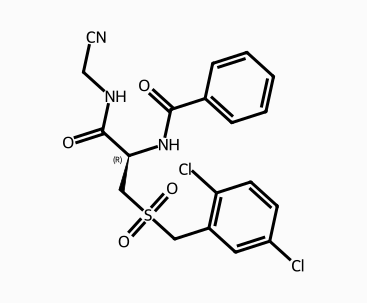 N#CCNC(=O)[C@H](CS(=O)(=O)Cc1cc(Cl)ccc1Cl)NC(=O)c1ccccc1